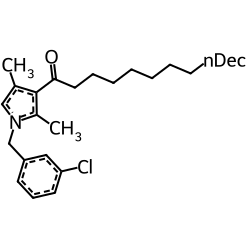 CCCCCCCCCCCCCCCCCC(=O)c1c(C)cn(Cc2cccc(Cl)c2)c1C